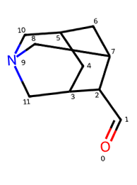 O=CC1C2CC3CC1CN(C3)C2